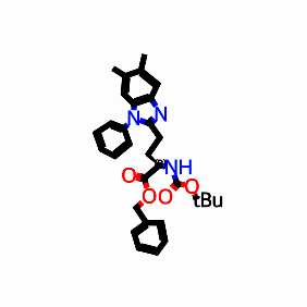 Cc1cc2nc(CC[C@@H](NC(=O)OC(C)(C)C)C(=O)OCc3ccccc3)n(-c3ccccc3)c2cc1C